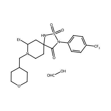 CCC1CC2(CCN1CC1CCOCC1)NS(=O)(=O)N(c1ccc(C(F)(F)F)cc1)C2=O.O=CO